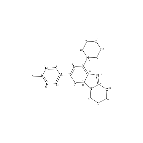 Cc1ncc(-c2nc(N3CCOCC3)c3nc4n(c3n2)CCCO4)cn1